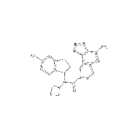 Nc1nc2ccc(C(=O)N(C3CCC3)C3CCc4cc(C(F)(F)F)ccc43)cc2n2nnnc12